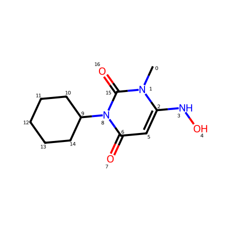 Cn1c(NO)cc(=O)n(C2CCCCC2)c1=O